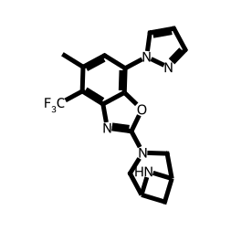 Cc1cc(-n2cccn2)c2oc(N3CC4CC(C3)N4)nc2c1C(F)(F)F